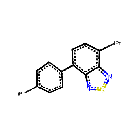 CC(C)c1ccc(-c2ccc(C(C)C)c3nsnc23)cc1